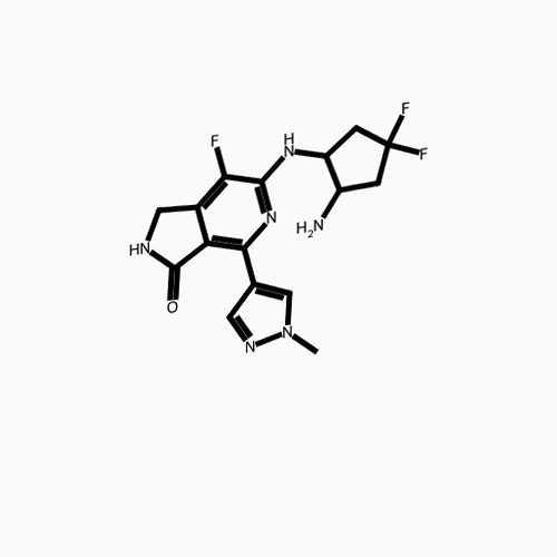 Cn1cc(-c2nc(NC3CC(F)(F)CC3N)c(F)c3c2C(=O)NC3)cn1